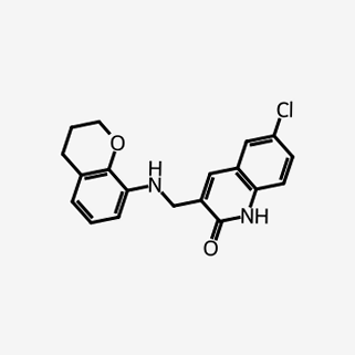 O=c1[nH]c2ccc(Cl)cc2cc1CNc1cccc2c1OCCC2